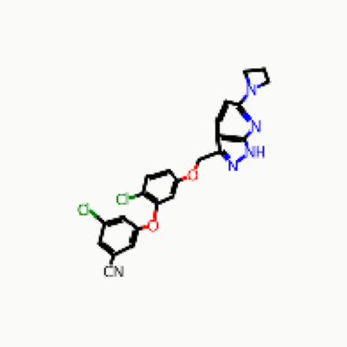 N#Cc1cc(Cl)cc(Oc2cc(OCc3n[nH]c4nc(N5CCC5)ccc34)ccc2Cl)c1